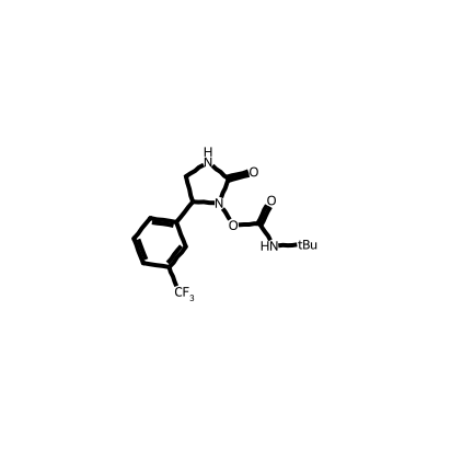 CC(C)(C)NC(=O)ON1C(=O)NCC1c1cccc(C(F)(F)F)c1